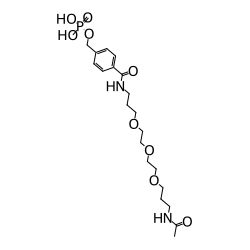 CC(=O)NCCCOCCOCCOCCCNC(=O)c1ccc(COP(=O)(O)O)cc1